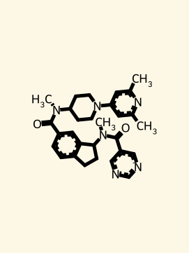 Cc1cc(N2CCC(N(C)C(=O)c3ccc4c(c3)C(N(C)C(=O)c3cncnc3)CC4)CC2)cc(C)n1